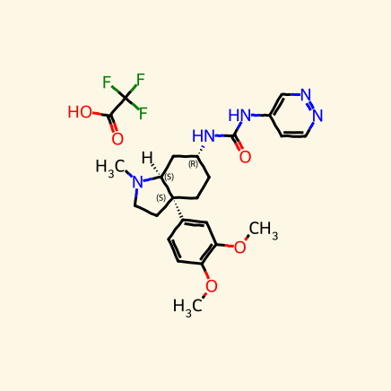 COc1ccc([C@@]23CC[C@@H](NC(=O)Nc4ccnnc4)C[C@@H]2N(C)CC3)cc1OC.O=C(O)C(F)(F)F